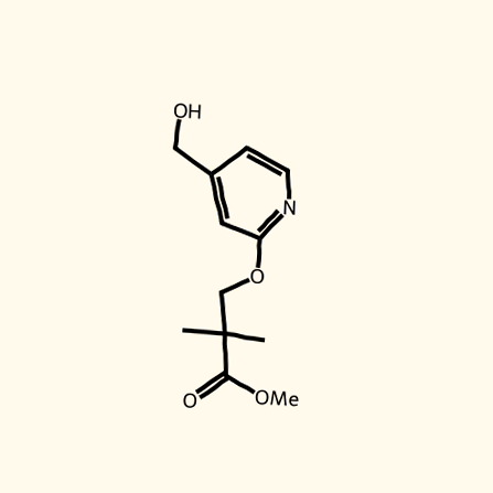 COC(=O)C(C)(C)COc1cc(CO)ccn1